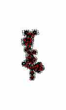 C1=CC2c3cc(-c4ccccc4-c4ccc(-c5cc(-c6ccc(-c7ccccc7)cc6)nc(-c6cccc7c6Oc6ccccc6C76c7ccccc7-c7ccccc76)n5)cc4)ccc3C3(c4ccccc4Oc4c(-c5nc(-c6ccccc6)cc(-c6cccc7cc(-c8cccc9c8C8C=CC=CC8C98c9ccccc9Oc9c(-c%10nc(-c%11ccccc%11)cc(-c%11ccccn%11)n%10)cccc98)ccc67)n5)cccc43)C2C=C1